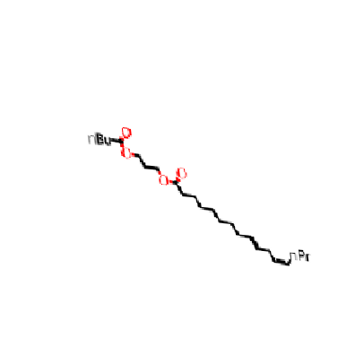 CCC/C=C\CC=CCCCCCCCC(=O)OCCCOC(=O)CCCC